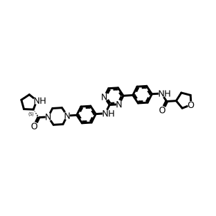 O=C(Nc1ccc(-c2ccnc(Nc3ccc(N4CCN(C(=O)[C@@H]5CCCN5)CC4)cc3)n2)cc1)C1CCOC1